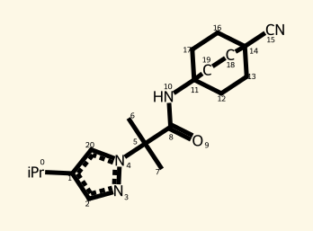 CC(C)c1cnn(C(C)(C)C(=O)NC23CCC(C#N)(CC2)CC3)c1